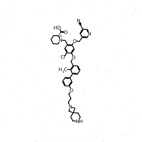 Cc1c(COc2cc(OCc3cncc(C#N)c3)c(CN3CCCC[C@H]3C(=O)O)cc2Cl)cccc1-c1cccc(OCCCN2CC3(CCNCC3)C2)c1